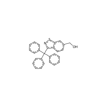 OCc1ccc2c(C(c3ccccc3)(c3ccccc3)c3ccccc3)nsc2c1